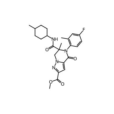 COC(=O)c1cc2n(n1)CC(C)(C(=O)NC1CCC(C)CC1)N(c1ccc(F)cc1C)C2=O